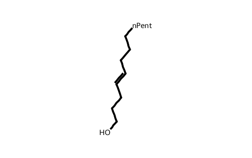 CCCCCCCC/C=C/CCCO